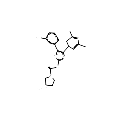 CC1=CC(c2sc(NC(=O)N3CC[C@H](C#N)C3)nc2-c2cccc(C#N)c2)CC(C)=N1